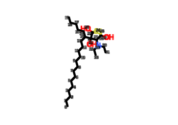 CCCCCCCCCCCCCCC(CCCCC)C(O)(C(O)=S)C(C(O)=S)N(CC)CC